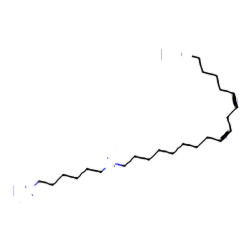 CCCCC/C=C\C/C=C\CCCCCCCCNCCCCCCN